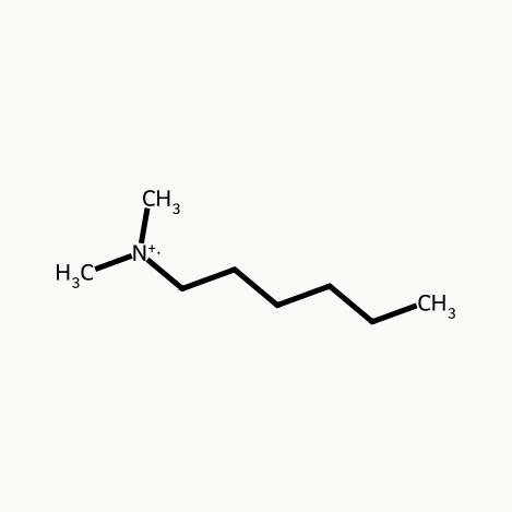 CCCCCC[N+](C)C